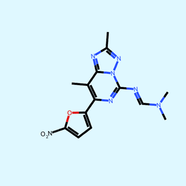 Cc1nc2c(C)c(-c3ccc([N+](=O)[O-])o3)nc(N=CN(C)C)n2n1